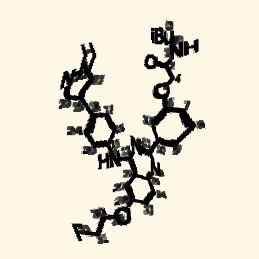 CC[C@@H](C)NC(=O)COc1cccc(-c2nc(Nc3ccc(-c4cn[nH]c4)cc3)c3cc(OCCF)ccc3n2)c1